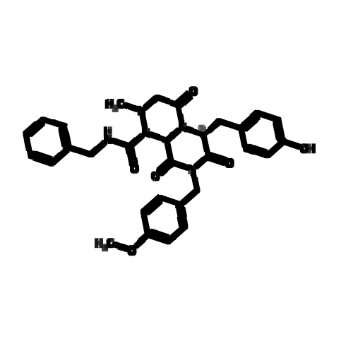 COc1ccc(CN2C(=O)C3N(C(=O)CN(C)N3C(=O)NCc3ccccc3)[C@@H](Cc3ccc(O)cc3)C2=O)cc1